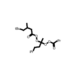 CC(C)CCC(C)(OOC(=O)CC(C)CC(C)(C)C)OOC(=O)C(C)C